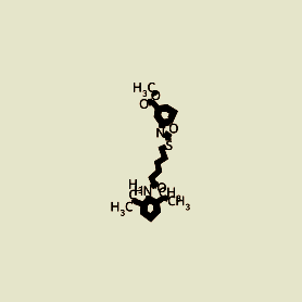 COC(=O)c1ccc2oc(SCCCCCC(=O)Nc3c(C(C)C)cccc3C(C)C)nc2c1